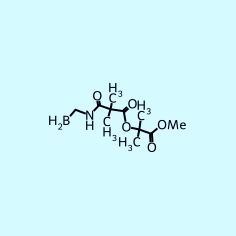 BCNC(=O)C(C)(C)C(=O)OC(C)(C)C(=O)OC